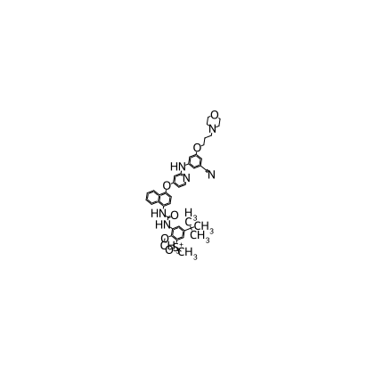 COc1c(NC(=O)Nc2ccc(Oc3ccnc(Nc4cc(C#N)cc(OCCCN5CCOCC5)c4)c3)c3ccccc23)cc(C(C)(C)C)cc1[S+](C)[O-]